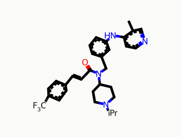 Cc1cnccc1Nc1cccc(CN(C(=O)/C=C/c2ccc(C(F)(F)F)cc2)C2CCN(C(C)C)CC2)c1